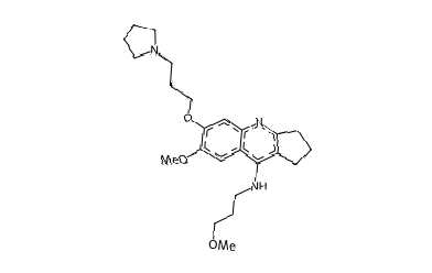 COCCCNc1c2c(nc3cc(OCCCN4CCCC4)c(OC)cc13)CCC2